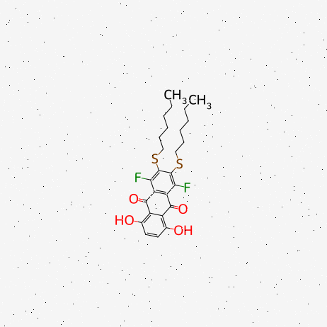 CCCCCCSc1c(F)c2c(c(F)c1SCCCCCC)C(=O)c1c(O)ccc(O)c1C2=O